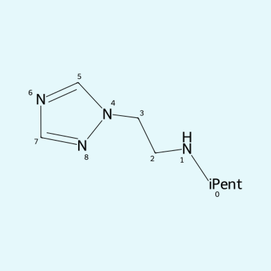 CCCC(C)NCCn1cncn1